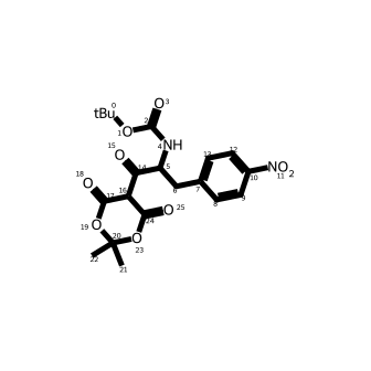 CC(C)(C)OC(=O)NC(Cc1ccc([N+](=O)[O-])cc1)C(=O)C1C(=O)OC(C)(C)OC1=O